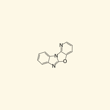 c1ccc2c(c1)nc1oc3cccnc3n12